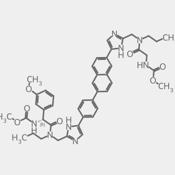 CCCN(Cc1ncc(-c2ccc3cc(-c4ccc(-c5cnc(CN(CCC)C(=O)[C@H](NC(=O)OC)c6cccc(OC)c6)[nH]5)cc4)ccc3c2)[nH]1)C(=O)CNC(=O)OC